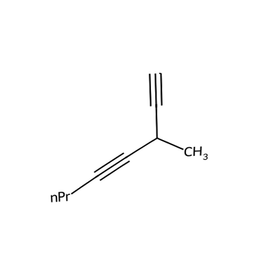 [C]#CC(C)C#CCCC